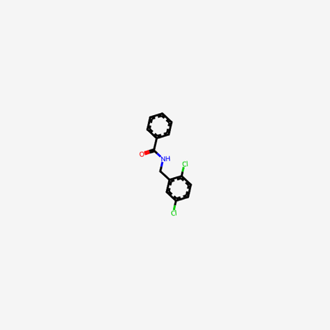 O=C(NCc1cc(Cl)ccc1Cl)c1ccccc1